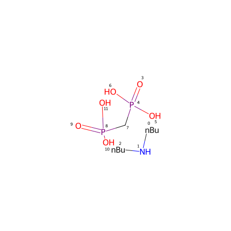 CCCCNCCCC.O=P(O)(O)CP(=O)(O)O